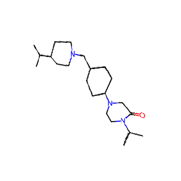 CC(C)C1CCN(CC2CCC(N3CCN(C(C)C)C(=O)C3)CC2)CC1